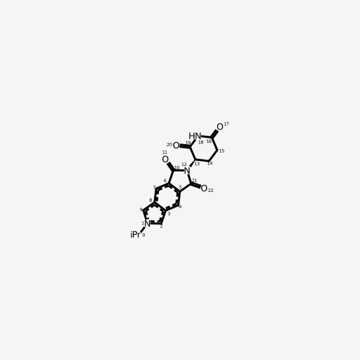 CC(C)n1cc2cc3c(cc2c1)C(=O)N([C@@H]1CCC(=O)NC1=O)C3=O